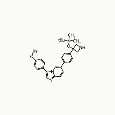 CC(C)Oc1ccc(-c2cnc3ccc(-c4ccc(C5(O[Si](C)(C)C(C)(C)C)CNC5)cc4)cn23)cc1